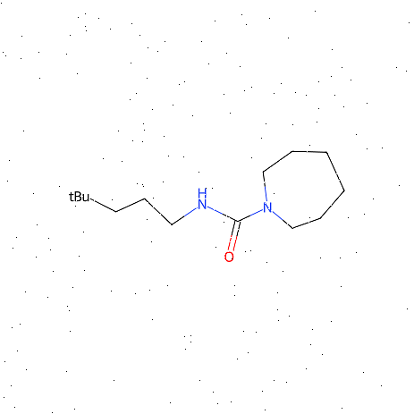 CC(C)(C)CCCNC(=O)N1CCCCCC1